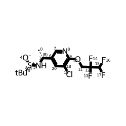 C[C@@H](N[S@+]([O-])C(C)(C)C)c1cnc(OCC(F)(F)C(F)F)c(Cl)c1